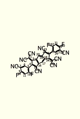 N#CC(C#N)=C1C(c2cc(C#N)c(F)cc2F)=C(C#N)c2cc3c(cc21)C(C#N)=C(c1cc(C#N)c(F)cc1F)C3=C(C#N)C#N